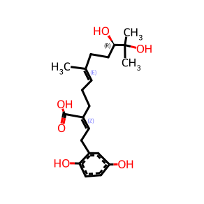 C/C(=C\CC/C(=C/Cc1cc(O)ccc1O)C(=O)O)CC[C@@H](O)C(C)(C)O